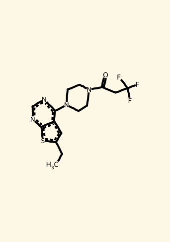 CCc1cc2c(N3CCN(C(=O)CC(F)(F)F)CC3)ncnc2s1